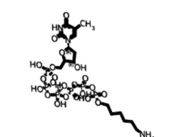 Cc1cn([C@H]2C[C@@H](O)C(COP(=O)(O)OP(=O)(O)OP(=O)(O)OP(=O)(O)OP(=O)(O)OP(=O)(O)OCCCCCCN)O2)c(=O)[nH]c1=O